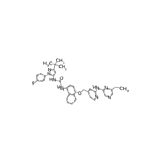 CCc1cncc(Nc2cc(COc3ccc(NC(=O)Nc4cc(C(C)(C)C)nn4-c4ccc(F)cc4)c4ccccc34)ccn2)n1